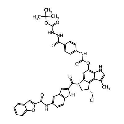 Cc1c[nH]c2c(OC(=O)Nc3ccc(C(=O)NNC(=O)OC(C)(C)C)cc3)cc3c(c12)[C@H](CCl)CN3C(=O)c1cc2cc(NC(=O)c3cc4ccccc4o3)ccc2[nH]1